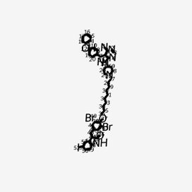 Nc1ncnc2c1c(-c1ccc(Oc3ccccc3)cc1)nn2C1CCN(CCCCCCCCCCOc2c(Br)cc(/C=C3\C(=O)Nc4ccc(I)cc43)cc2Br)CC1